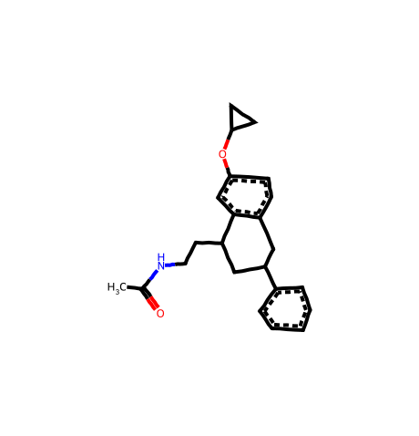 CC(=O)NCCC1CC(c2ccccc2)Cc2ccc(OC3CC3)cc21